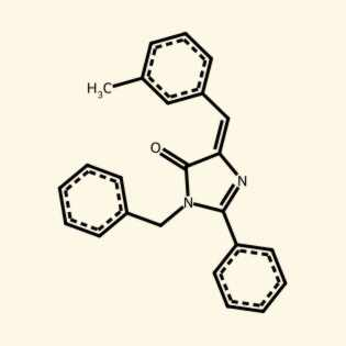 Cc1cccc(C=C2N=C(c3ccccc3)N(Cc3ccccc3)C2=O)c1